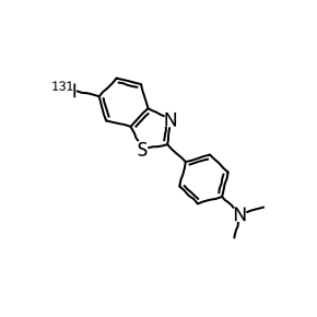 CN(C)c1ccc(-c2nc3ccc([131I])cc3s2)cc1